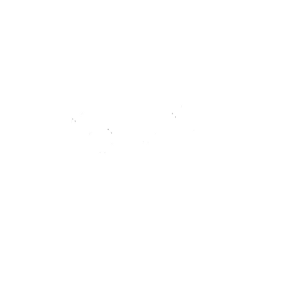 CC(C)C1CC(Oc2ccn(-c3ccncc3)c(=O)c2)CCN1C(=O)O